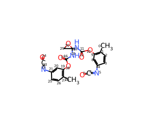 Cc1ccc(N=C=O)cc1OC(=O)NC1(NC(=O)Oc2cc(N=C=O)ccc2C)CO1